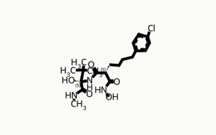 CNC(=O)[C@](O)(NC(=O)[C@H](CCCCc1ccc(Cl)cc1)C(=O)NO)C(C)(C)C